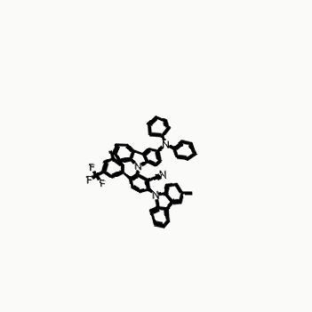 Cc1cc(-c2ccc(-n3c4ccccc4c4cc(C)ccc43)c(C#N)c2-n2c3ccccc3c3cc(N(c4ccccc4)c4ccccc4)ccc32)cc(C(F)(F)F)c1